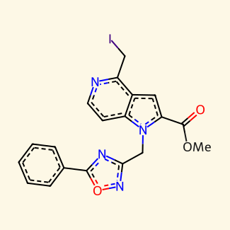 COC(=O)c1cc2c(CI)nccc2n1Cc1noc(-c2ccccc2)n1